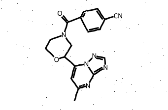 Cc1cc(C2CN(C(=O)c3ccc(C#N)cc3)CCO2)n2ncnc2n1